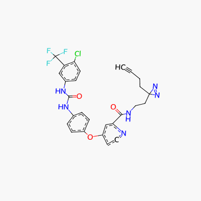 C#CCCC1(CCNC(=O)c2cc(Oc3ccc(NC(=O)Nc4ccc(Cl)c(C(F)(F)F)c4)cc3)ccn2)N=N1